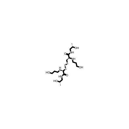 C[C@H](O)CNC(=O)[C@H](CSSS[C@H](NCCCO)C(=O)NC[C@H](C)O)NCCCO